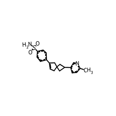 Cc1ccc(C2CC3(CC=C(c4ccc(S(N)(=O)=O)cc4)C3)C2)cn1